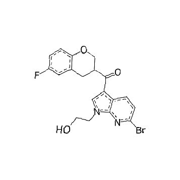 O=C(c1cn(CCO)c2nc(Br)ccc12)C1COc2ccc(F)cc2C1